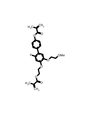 C=C(C)C(=O)OCCOc1cc(F)c(-c2ccc(OC(=O)C(=C)C)cc2)cc1OCCOC